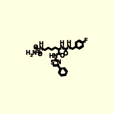 NS(=O)(=O)NCCCCC(NC(=O)NCc1ccc(F)cc1)C(=O)Nc1nc(-c2ccccc2)cs1